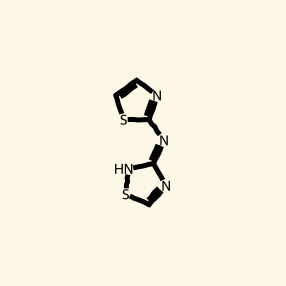 c1csc(N=c2ncs[nH]2)n1